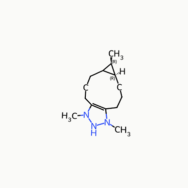 C[C@@H]1C2CCCC3=C(CCC[C@@H]21)N(C)NN3C